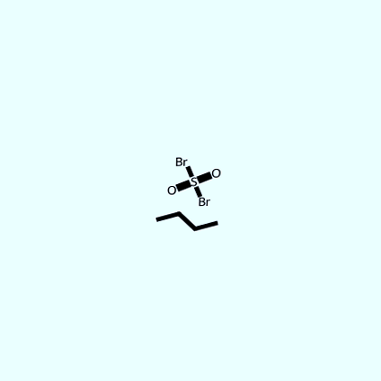 CCCC.O=S(=O)(Br)Br